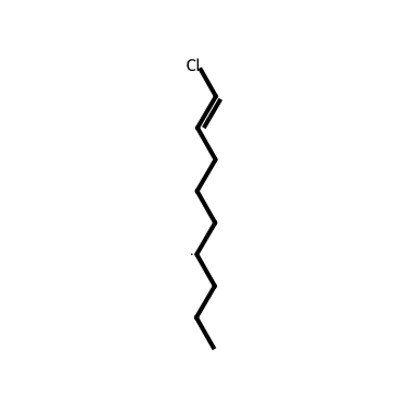 CCC[CH]CCCC=CCl